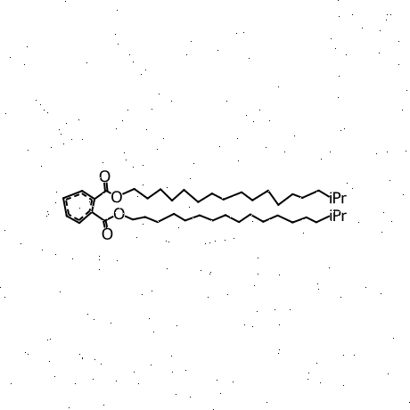 CC(C)CCCCCCCCCCCCCCCOC(=O)c1ccccc1C(=O)OCCCCCCCCCCCCCCCC(C)C